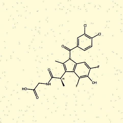 Cc1c([C@@H](C)C(=O)NCC(=O)O)c2c(F)c(O)c(F)cc2n1C(=O)c1ccc(Cl)c(Cl)c1